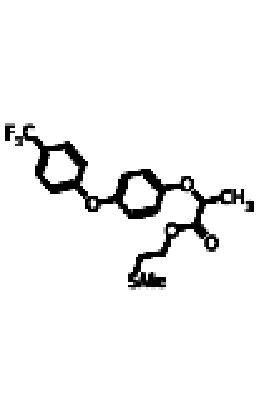 CSCCOC(=O)C(C)Oc1ccc(Oc2ccc(C(F)(F)F)cc2)cc1